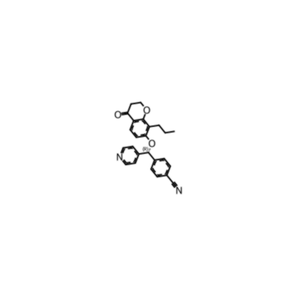 CCCc1c(O[C@@H](c2ccncc2)c2ccc(C#N)cc2)ccc2c1OCCC2=O